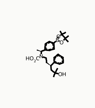 C[C@@H](c1ccc(B2OC(C)(C)C(C)(C)O2)cc1)N(CC[C@H](CC(C)(C)O)c1ccccc1)C(=O)O